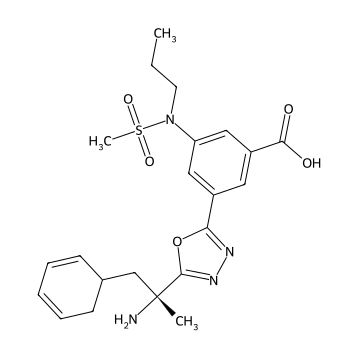 CCCN(c1cc(C(=O)O)cc(-c2nnc([C@](C)(N)CC3C=CC=CC3)o2)c1)S(C)(=O)=O